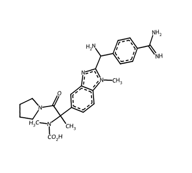 CN(C(=O)O)C(C)(C(=O)N1CCCC1)c1ccc2c(c1)nc(C(N)c1ccc(C(=N)N)cc1)n2C